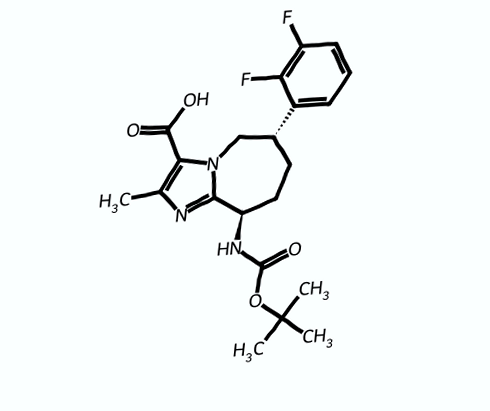 Cc1nc2n(c1C(=O)O)C[C@H](c1cccc(F)c1F)CC[C@H]2NC(=O)OC(C)(C)C